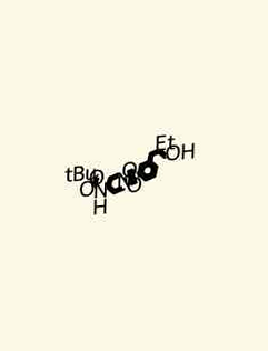 CCC(CO)Cc1cccc(S(=O)(=O)N2CCC(NC(=O)OC(C)(C)C)CC2)c1